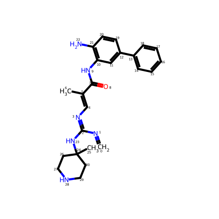 C=N/C(=N\C=C(/C)C(=O)Nc1cc(-c2ccccc2)ccc1N)NC1(C)CCNCC1